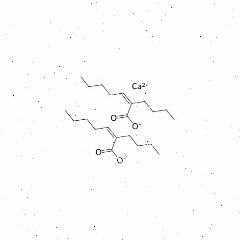 CCCC/C=C(/CCCC)C(=O)[O-].CCCC/C=C(/CCCC)C(=O)[O-].[Ca+2]